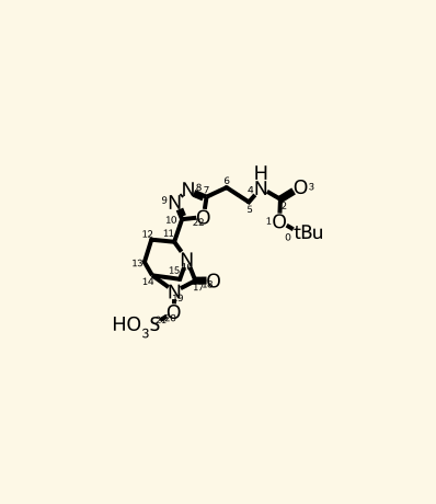 CC(C)(C)OC(=O)NCCc1nnc(C2CCC3CN2C(=O)N3OS(=O)(=O)O)o1